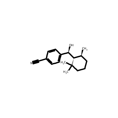 C[C@H]1CCCC(C)(C)[C@@H]1[C@H](O)c1ccc(C#N)cc1